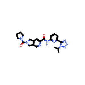 CC(C)n1nnnc1-c1cccc(NC(=O)c2cc3c(cn2)CN(C(=O)N2CCCC2)C3)n1